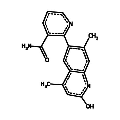 Cc1cc2nc(O)cc(C)c2cc1-c1ncccc1C(N)=O